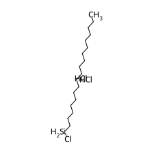 CCCCCCCCCCCCCCCCCC[SiH2]Cl.Cl.Cl